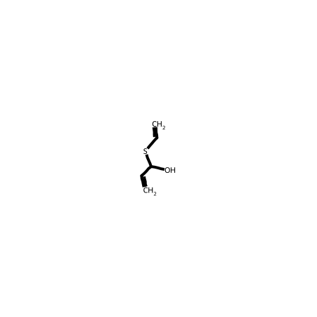 C=CSC(O)C=C